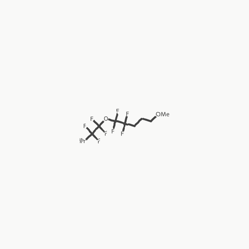 COCCCC(F)(F)C(F)(F)OC(F)(F)C(F)(F)C(C)C